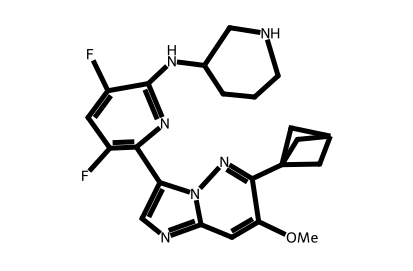 COc1cc2ncc(-c3nc(NC4CCCNC4)c(F)cc3F)n2nc1C12CC(C1)C2